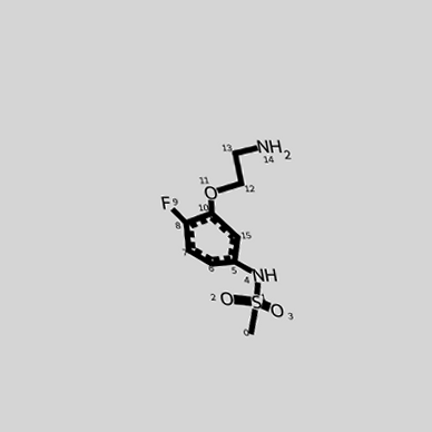 CS(=O)(=O)Nc1ccc(F)c(OCCN)c1